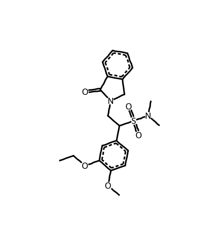 CCOc1cc(C(CN2Cc3ccccc3C2=O)S(=O)(=O)N(C)C)ccc1OC